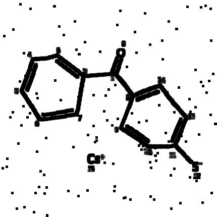 O=C(c1ccccc1)c1ccc([S-])cc1.[Cs+]